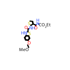 CCOC(=O)NC(=O)C1=CCSC1NC(=O)C1Nc2ccc(OCCOC)cc2S1